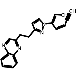 C#C/C=C\C(=C/C)n1ccc(CCc2cnc3ccccc3n2)n1